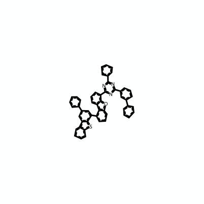 c1ccc(-c2cccc(-c3nc(-c4ccccc4)nc(-c4cccc5c4oc4cccc(-c6cc(-c7ccccc7)cc7c6sc6ccccc67)c45)n3)c2)cc1